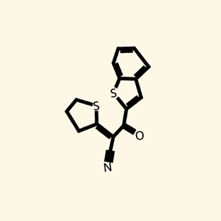 N#CC(C(=O)c1cc2ccccc2s1)=C1CCCS1